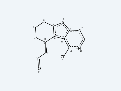 O=CC[C@H]1CCCc2sc3ncnc(Cl)c3c21